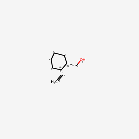 C=C[C@@H]1CCCC[C@@H]1CO